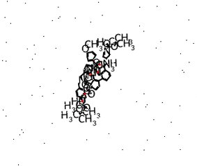 COc1ccc(CN(Cc2ccc(OC)cc2)S(=O)(=O)c2c(S(=O)(=O)CCNC(=O)OC(C)(C)C)ccc(-c3cccc(C(=O)N[C@H]4CCN(C(=O)OC(C)(C)C)C4)c3N)c2-c2nnn(Cc3ccc(OC)cc3)n2)cc1